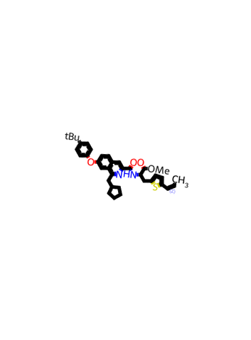 C/C=C\c1ccc(CC(NC(=O)c2cc3ccc(Oc4ccc(C(C)(C)C)cc4)cc3c(CC3CCCC3)n2)C(=O)OC)s1